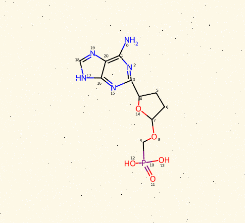 Nc1nc(C2CCC(OCP(=O)(O)O)O2)nc2[nH]cnc12